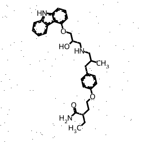 CCC(CCOc1ccc(CC(C)CNCC(O)COc2cccc3[nH]c4ccccc4c23)cc1)C(N)=O